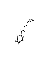 CC(C)CCCCCc1ccccc1